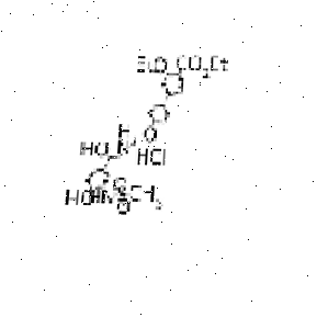 CCOC(=O)c1ccc(-c2ccc(OCCNC[C@@H](O)c3ccc(O)c(NS(C)(=O)=O)c3)cc2)cc1OCC.Cl